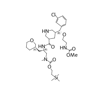 COC(=O)NCCO[C@@H](c1cccc(Cl)c1)C1CNCC(C(=O)N[C@H](C[C@H]2CCCOC2)CN(C)C(=O)OCC[Si](C)(C)C)C1